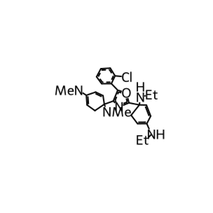 CCNC1=CCC(NCC)(c2nc(C3(NC)C=CC(NC)=CC3)c(-c3ccccc3Cl)o2)C=C1